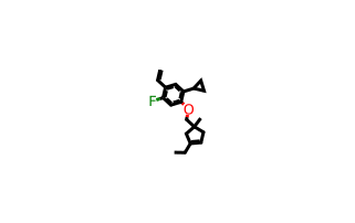 C=Cc1cc(C2CC2)c(OCC2(C)CC=C(CC)C2)cc1F